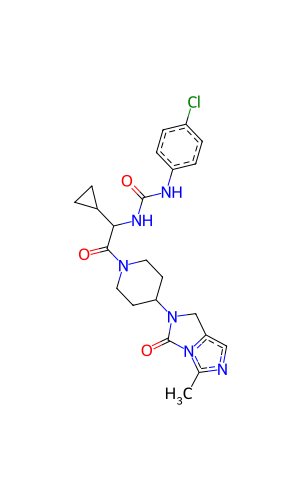 Cc1ncc2n1C(=O)N(C1CCN(C(=O)C(NC(=O)Nc3ccc(Cl)cc3)C3CC3)CC1)C2